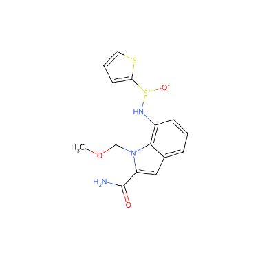 COCn1c(C(N)=O)cc2cccc(N[S+]([O-])c3cccs3)c21